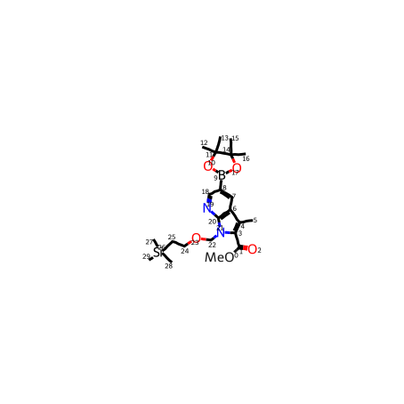 COC(=O)c1c(C)c2cc(B3OC(C)(C)C(C)(C)O3)cnc2n1COCC[Si](C)(C)C